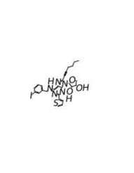 CCCCC#Cc1nc2c(NCc3cccc(I)c3)nc(-c3cccs3)nc2n1[C@@H]1OC[C@@H](O)[C@H]1O